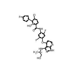 C[C@H](CO)Nc1n[nH]c2nccc(Oc3cc(F)c(NC(=O)c4ccc(Cl)c(-c5ccc(F)cc5)[n+]4O)cc3F)c12